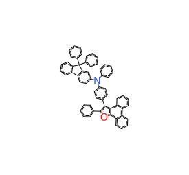 c1ccc(-c2oc3c4ccccc4c4ccccc4c3c2-c2ccc(N(c3ccccc3)c3ccc4c(c3)C(c3ccccc3)(c3ccccc3)c3ccccc3-4)cc2)cc1